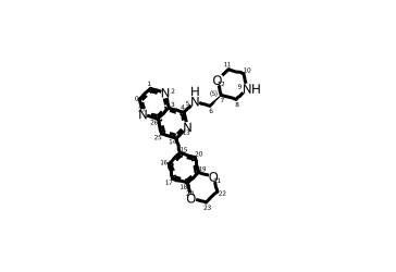 c1cnc2c(NC[C@@H]3CNCCO3)nc(-c3ccc4c(c3)OCCO4)cc2n1